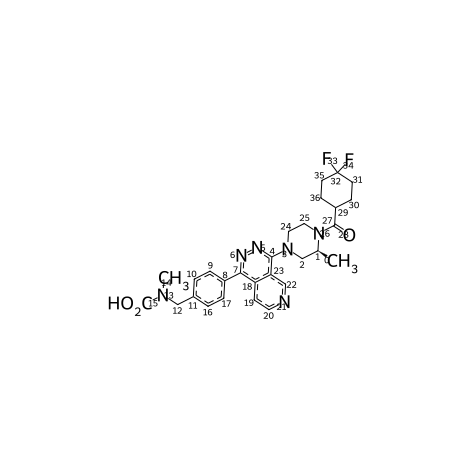 C[C@H]1CN(c2nnc(-c3ccc(CN(C)C(=O)O)cc3)c3ccncc23)CCN1C(=O)C1CCC(F)(F)CC1